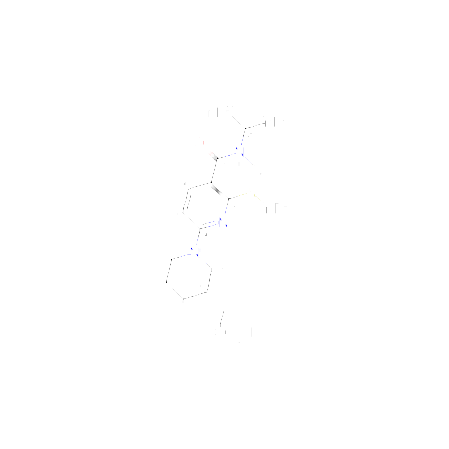 CCCSc1nc(N2CCC[C@@H](CC(=O)O)C2)ccc1C(=O)N(C)C(CCC)CCC